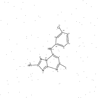 CCCc1nc2nc(C)cc(Nc3cccc(Cl)c3)n2n1